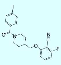 N#Cc1c(F)cccc1OCC1CCN(C(=O)c2ccc(I)cc2)CC1